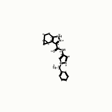 CC[C@@H](c1ccccc1)n1cc(NC(=O)c2n[nH]c3c2C2CC2CC3)cn1